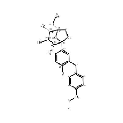 CCOc1ccc(Cc2cc(C34OC[C@@](CO)(O3)[C@@H](O)[C@H](O)[C@H]4O)ccc2Cl)cc1